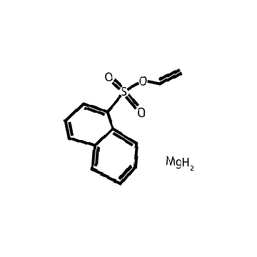 C=COS(=O)(=O)c1cccc2ccccc12.[MgH2]